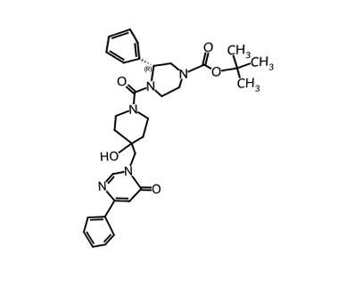 CC(C)(C)OC(=O)N1CCN(C(=O)N2CCC(O)(Cn3cnc(-c4ccccc4)cc3=O)CC2)[C@H](c2ccccc2)C1